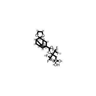 O=C(OC(CS(=O)(=O)O)(C(F)(F)F)C(F)(F)F)C12CC3CC(C1)C1(OCCO1)C(C3)C2